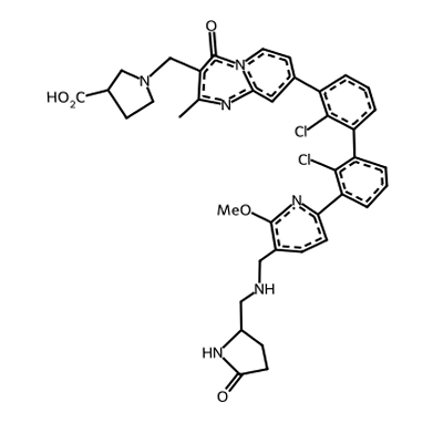 COc1nc(-c2cccc(-c3cccc(-c4ccn5c(=O)c(CN6CCC(C(=O)O)C6)c(C)nc5c4)c3Cl)c2Cl)ccc1CNCC1CCC(=O)N1